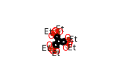 CCS(=O)(=O)c1cc2c3cc(S(=O)(=O)CC)c(S(=O)(=O)CC)cc3c3cc(S(=O)(=O)CC)c(S(=O)(=O)CC)cc3c2cc1S(=O)(=O)CC